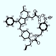 C=CCN(C(=O)NCc1ccc([N+](=O)[O-])cc1)C1CCN(CC2CC(N(CC(=O)O)CC(C)C)CC2c2ccccc2)CC1